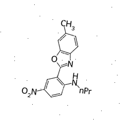 CCCNc1ccc([N+](=O)[O-])cc1-c1nc2ccc(C)cc2o1